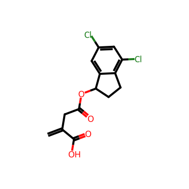 C=C(CC(=O)OC1CCc2c(Cl)cc(Cl)cc21)C(=O)O